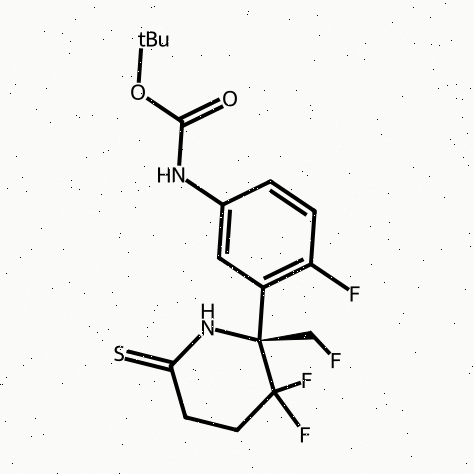 CC(C)(C)OC(=O)Nc1ccc(F)c([C@@]2(CF)NC(=S)CCC2(F)F)c1